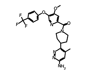 COc1cc(C(=O)N2CCC(c3nnc(N)cc3C)CC2)ncc1Oc1ccc(C(F)(F)F)cc1